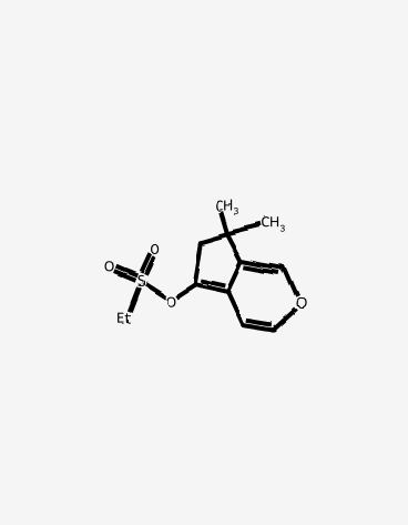 CCS(=O)(=O)OC1=C2C=COC=C2C(C)(C)C1